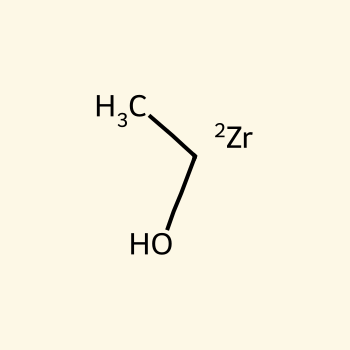 CCO.[2Zr]